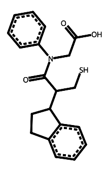 O=C(O)CN(C(=O)C(CS)C1CCc2ccccc21)c1ccccc1